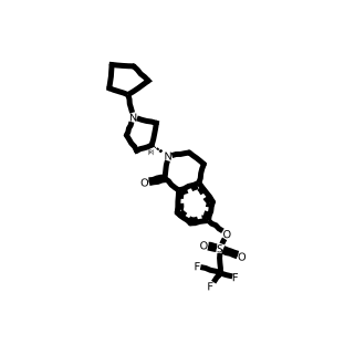 O=C1c2ccc(OS(=O)(=O)C(F)(F)F)cc2CCN1[C@@H]1CCN(C2CCCC2)C1